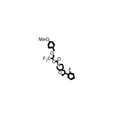 COc1ccc(COCC(OC(=O)N2CCC3(CC2)CC(c2ccccc2F)CO3)C(F)(F)F)cc1